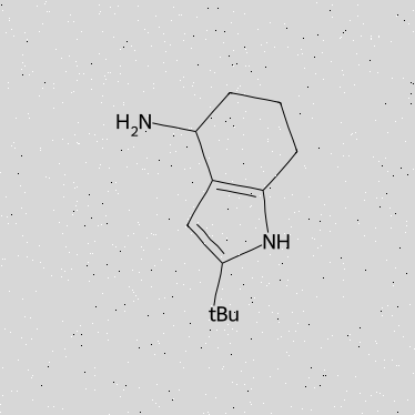 CC(C)(C)c1cc2c([nH]1)CCCC2N